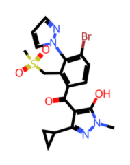 Cn1nc(C2CC2)c(C(=O)c2ccc(Br)c(-n3cccn3)c2CS(C)(=O)=O)c1O